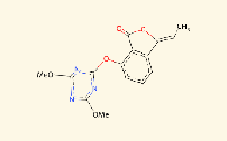 CC=C1OC(=O)c2c(Oc3nc(OC)nc(OC)n3)cccc21